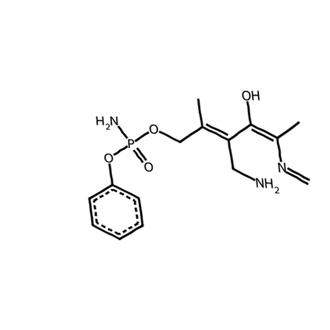 C=N/C(C)=C(O)\C(CN)=C(/C)COP(N)(=O)Oc1ccccc1